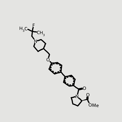 COC(=O)[C@H]1CCCN1C(=O)c1ccc(-c2ccc(OCC3CCN(CC(C)(C)F)CC3)cc2)cc1